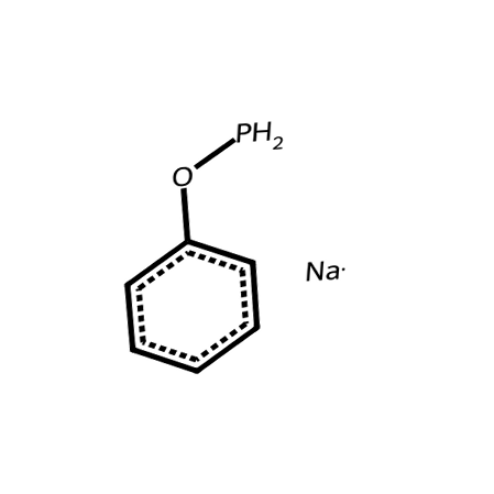 POc1ccccc1.[Na]